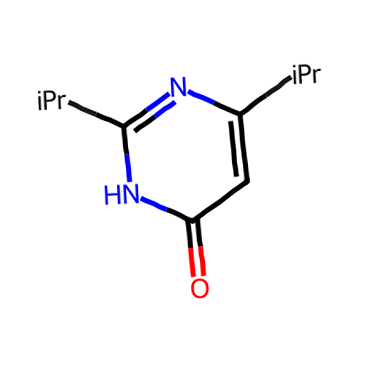 CC(C)c1cc(=O)[nH]c(C(C)C)n1